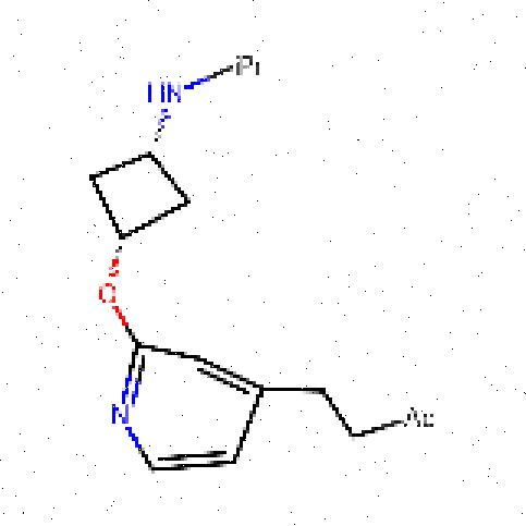 CC(=O)CCc1ccnc(O[C@H]2C[C@@H](NC(C)C)C2)c1